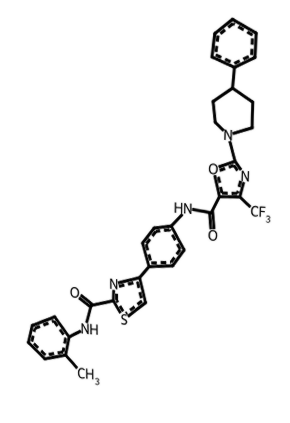 Cc1ccccc1NC(=O)c1nc(-c2ccc(NC(=O)c3oc(N4CCC(c5ccccc5)CC4)nc3C(F)(F)F)cc2)cs1